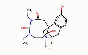 CCN1CC[C@@]2(O)[C@H]3Cc4ccc(O)cc4[C@@]2(CCN3C)CC(=O)N(CC)C1=O